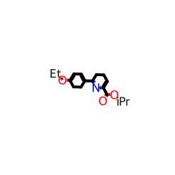 CCOC1=CC=C(C2=NC(C(=O)OC(C)C)=CCC2)CC1